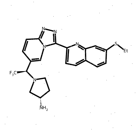 CCSc1ccc2ccc(-c3nnc4ccc([C@@H](N5CC[C@H](N)C5)C(F)(F)F)cn34)nc2c1